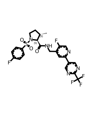 C[C@H]1CCN(S(=O)(=O)c2ccc(F)cc2)[C@@H]1C(=O)NCc1cc(-c2cnc(C(F)(F)F)nc2)ncc1F